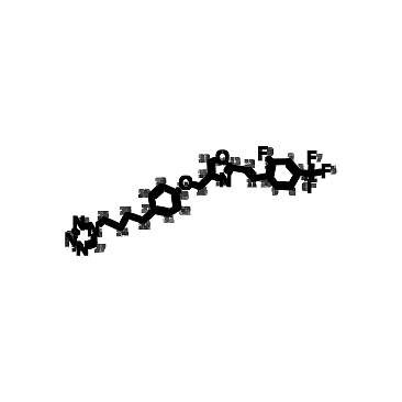 Fc1cc(C(F)(F)F)ccc1C=Cc1nc(COc2ccc(CCCCn3cnnn3)cc2)co1